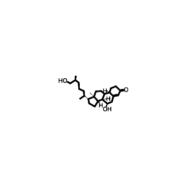 CC(CO)CCCC(C)[C@H]1CC[C@H]2[C@@H]3[C@H](O)CC4=CC(=O)CC[C@]4(C)[C@H]3CC[C@]12C